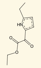 CCOC(=O)C(=O)c1ccc(CC)[nH]1